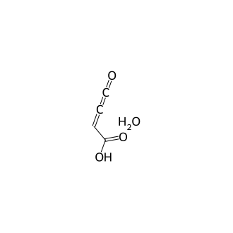 O.O=C=C=CC(=O)O